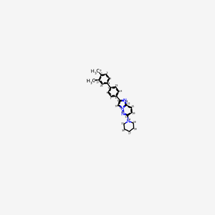 Cc1ccc(-c2ccc(-c3cn4nc(N5CCCCC5)ccc4n3)cc2)cc1C